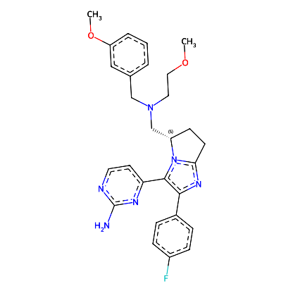 COCCN(Cc1cccc(OC)c1)C[C@@H]1CCc2nc(-c3ccc(F)cc3)c(-c3ccnc(N)n3)n21